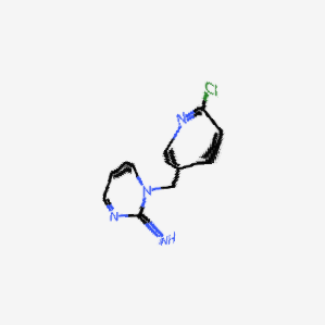 N=c1ncccn1Cc1ccc(Cl)nc1